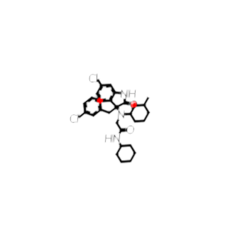 CC1CCCC(N(CC(=O)NC2CCCCC2)C2(Cc3cccc(Cl)c3)C(=O)Nc3cc(Cl)ccc32)C1